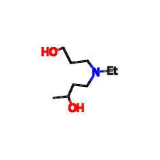 CCN(CCCO)CCC(C)O